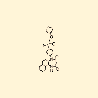 O=C(COc1ccccc1)Nc1ccc(N2C(=O)CC(=O)Nc3c2ccc2ccccc32)cc1